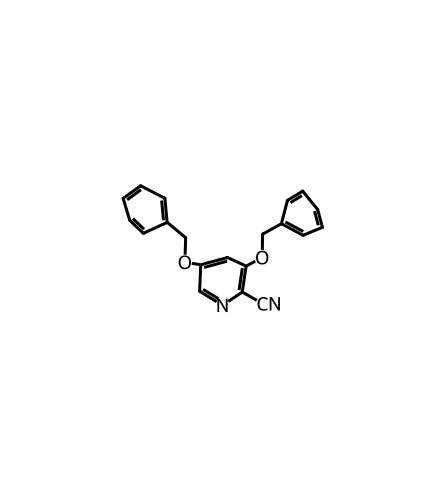 N#Cc1ncc(OCc2ccccc2)cc1OCc1ccccc1